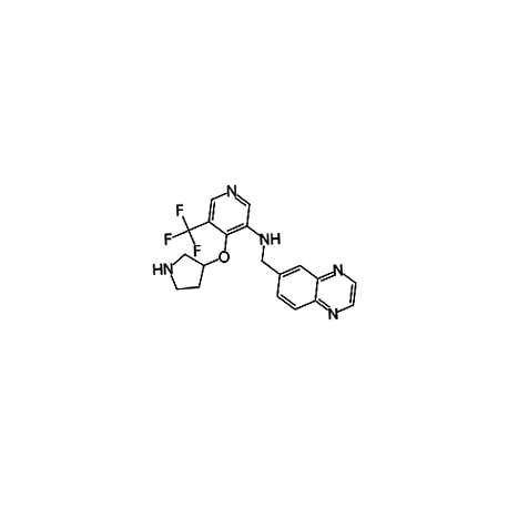 FC(F)(F)c1cncc(NCc2ccc3nccnc3c2)c1OC1CCNC1